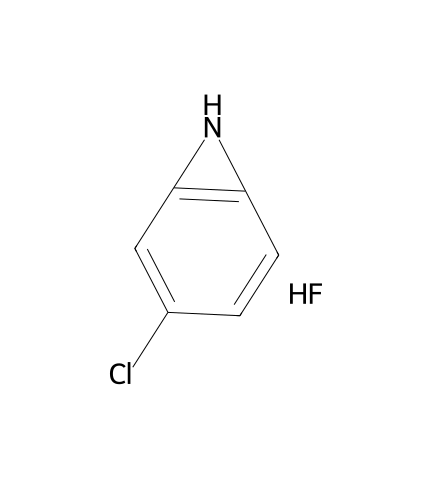 Clc1ccc2c(c1)N2.F